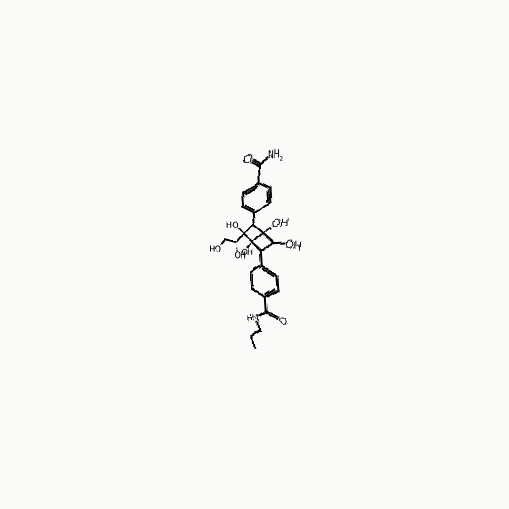 CCCNC(=O)c1ccc(C2C(O)[C@@]3(O)C(c4ccc(C(N)=O)cc4)[C@@](O)([C@H](O)CO)[C@@]23O)cc1